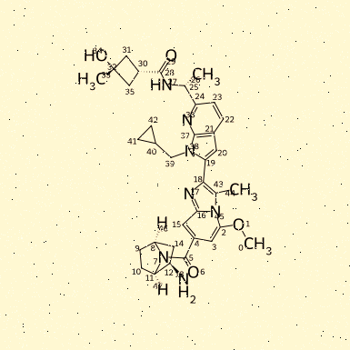 COc1cc(C(=O)N2[C@H]3CC[C@@H]2[C@H](N)C3)cc2nc(-c3cc4ccc([C@@H](C)NC(=O)[C@H]5C[C@@](C)(O)C5)nc4n3CC3CC3)c(C)n12